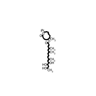 CC(=C\C=C\C(C)=C\C(O)C(O)CC(C)O)/C=C(C)/C=C/C(=O)OC1CCCC(=O)OC(C(C)C)C/C=C/CC1C